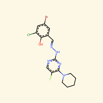 Oc1c(Cl)cc(Br)cc1/C=N/Nc1ncc(F)c(N2CCCCC2)n1